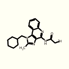 [3H]CC(=O)Nc1nc2ccccc2c2c1nc(C)n2CC1CCCCC1